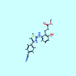 COC(=O)CCc1c(O)cccc1Nc1nc(-c2ccc(C#N)cc2)cs1